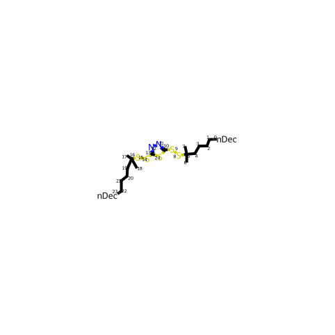 CCCCCCCCCCCCCCC(C)(C)SSc1nnc(SSC(C)(C)CCCCCCCCCCCCCC)s1